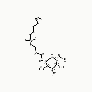 CCCCCCCCCCCCCC[N+](C)(C)CCCCO[C@@H]1O[C@H](CO)[C@@H](O)[C@H](O)[C@H]1O